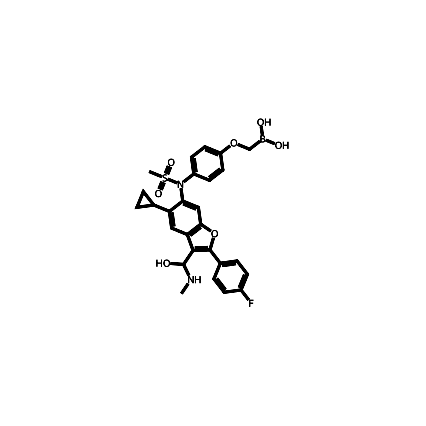 CNC(O)c1c(-c2ccc(F)cc2)oc2cc(N(c3ccc(OCB(O)O)cc3)S(C)(=O)=O)c(C3CC3)cc12